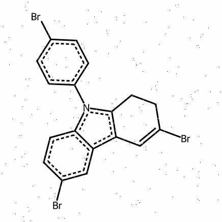 BrC1=Cc2c(n(-c3ccc(Br)cc3)c3ccc(Br)cc23)CC1